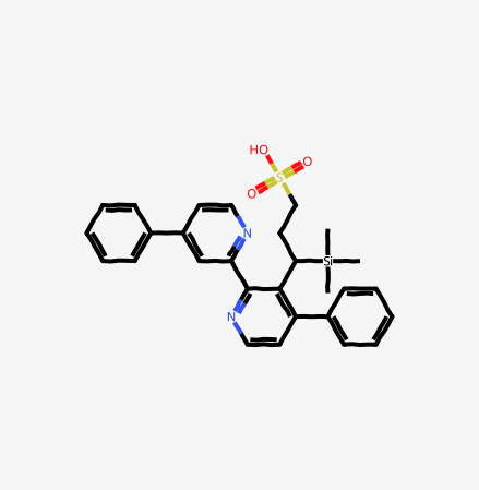 C[Si](C)(C)C(CCS(=O)(=O)O)c1c(-c2ccccc2)ccnc1-c1cc(-c2ccccc2)ccn1